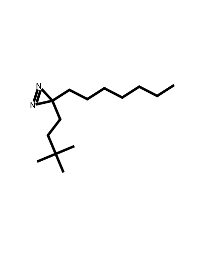 CCCCCCCC1(CCC(C)(C)C)N=N1